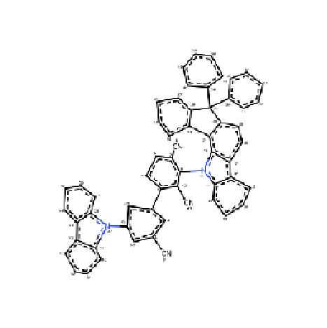 N#Cc1cc(-c2ccc(C#N)c(-n3c4ccccc4c4ccc5c(c43)-c3ccccc3C5(c3ccccc3)c3ccccc3)c2C#N)cc(-n2c3ccccc3c3ccccc32)c1